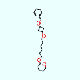 c1ccc(CO[C@H]2C[C@H](OCCCCCCOC3CCCCO3)C2)cc1